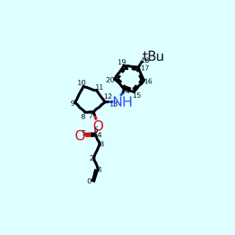 C=CCCC(=O)OC1CCCCC1Nc1ccc(C(C)(C)C)cc1